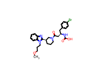 COCCCn1c([C@@H]2CCCN(C(=O)C[C@@H](Cc3ccc(Br)cc3)NC(=O)O)C2)nc2ccccc21